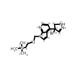 C[Si](C)(C)CCOCn1ccc2c(C3(Br)C=NNC3)ccnc21